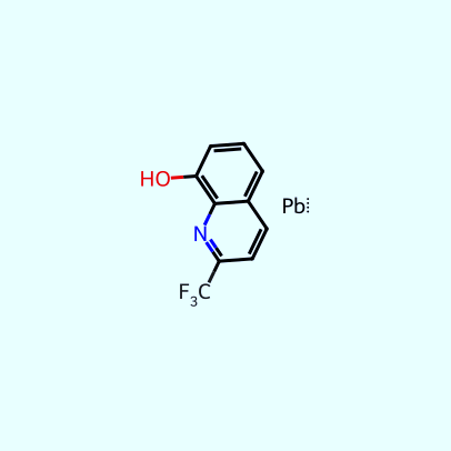 Oc1cccc2ccc(C(F)(F)F)nc12.[Pb]